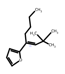 CCCC/C(=C\C(C)(C)C)c1ccco1